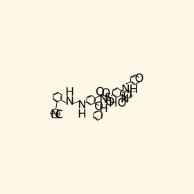 C[N+]([O-])(O)c1cc(S(=O)(=O)NC(=O)c2ccc(NCCNCc3ccccc3N3CC4CCC(CC4)C3)cc2Oc2ccccc2)ccc1NCC1=CCOC=C1